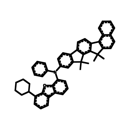 CC1(C)c2cc(N(c3ccccc3)c3cccc4c3oc3c(C5CCCCC5)cccc34)ccc2-c2ccc3c(c21)C(C)(C)c1ccc2ccccc2c1-3